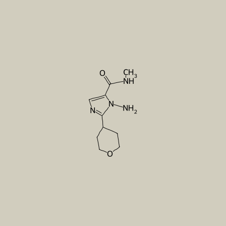 CNC(=O)c1cnc(C2CCOCC2)n1N